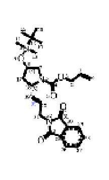 C=CCOC(=O)N1C[C@H](O[Si](C)(C)C(C)(C)C)C[C@H]1/C=C/CN1C(=O)c2ccccc2C1=O